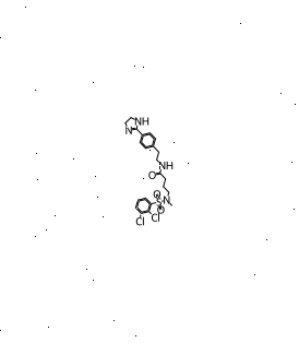 CN(CCCC(=O)NCCc1ccc(C2=NCCN2)cc1)S(=O)(=O)c1cccc(Cl)c1Cl